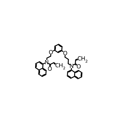 C=CC(=O)N(CCCOc1cccc(OCCN(C(=O)C=C)c2cccc3ccccc23)c1)c1cccc2ccccc12